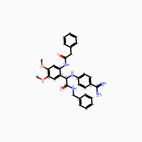 COc1cc(NC(=O)Cc2ccccc2)c(C(Nc2ccc(C(=N)N)cc2)C(=O)NCc2ccccc2)cc1OC